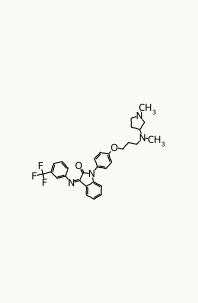 CN1CCC(N(C)CCCOc2ccc(N3C(=O)C(=Nc4cccc(C(F)(F)F)c4)c4ccccc43)cc2)C1